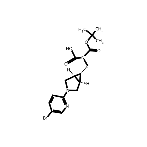 CC(C)(C)OC(=O)N(C[C@@H]1[C@H]2CN(c3ccc(Br)cn3)C[C@@H]12)C(=O)O